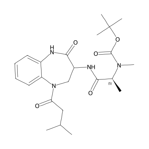 CC(C)CC(=O)N1CC(NC(=O)[C@H](C)N(C)C(=O)OC(C)(C)C)C(=O)Nc2ccccc21